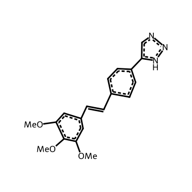 COc1cc(C=Cc2ccc(-c3cnn[nH]3)cc2)cc(OC)c1OC